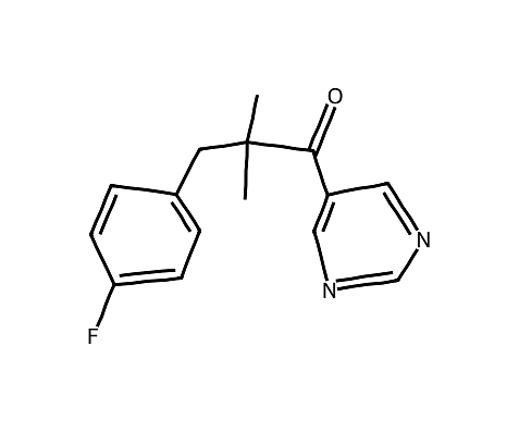 CC(C)(Cc1ccc(F)cc1)C(=O)c1cncnc1